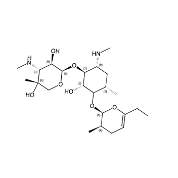 CCC1=CC[C@@H](C)[C@@H](OC2[C@@H](C)C[C@@H](NC)[C@H](O[C@H]3OC[C@](C)(O)[C@H](NC)[C@H]3O)[C@H]2O)O1